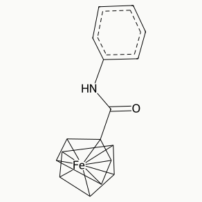 O=C(Nc1ccccc1)[C]12[CH]3[CH]4[CH]5[CH]1[Fe]45321678[CH]2[CH]1[CH]6[CH]7[CH]28